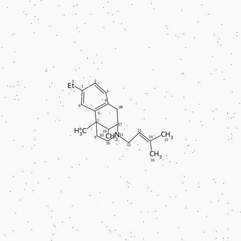 CCc1ccc2c(c1)C1(C)CCN(CC=C(C)C)C(C2)C1C